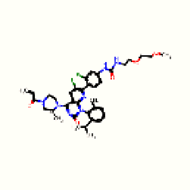 C=CC(=O)N1CCN(c2nc(=O)n(-c3c(C)cccc3C(C)C)c3nc(-c4ccc(NC(=O)NCCOCCOC)cc4F)c(F)cc23)[C@@H](C)C1